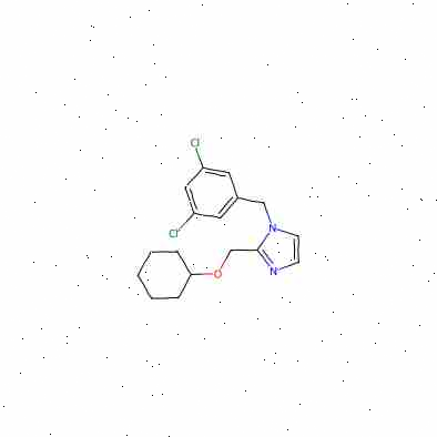 Clc1cc(Cl)cc(Cn2ccnc2COC2CCCCC2)c1